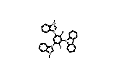 C[n+]1cn(-c2cc(-n3c[n+](C)c4ccccc43)c(F)c(-n3c4ccccc4c4ccccc43)c2F)c2ccccc21